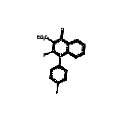 CCOC(=O)c1c(F)n(-c2ccc(F)cc2)c2ccccc2c1=O